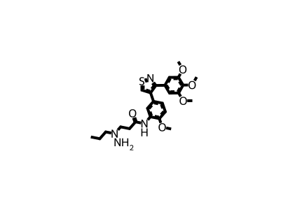 CCCN(N)CCC(=O)Nc1cc(-c2csnc2-c2cc(OC)c(OC)c(OC)c2)ccc1OC